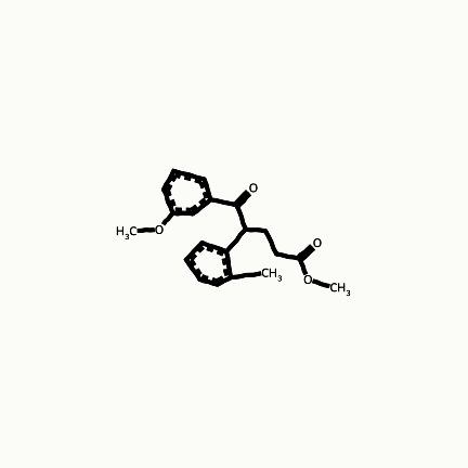 COC(=O)CCC(C(=O)c1cccc(OC)c1)c1ccccc1C